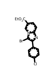 CCOC(=O)c1ccc2nc(-c3ccc(Cl)cc3)c(Br)n2c1